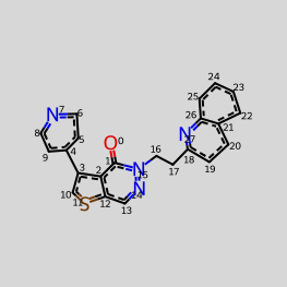 O=c1c2c(-c3ccncc3)csc2cnn1CCc1ccc2ccccc2n1